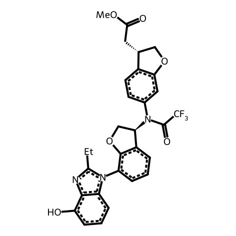 CCc1nc2c(O)cccc2n1-c1cccc2c1OC[C@H]2N(C(=O)C(F)(F)F)c1ccc2c(c1)OC[C@H]2CC(=O)OC